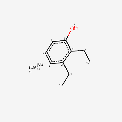 CCc1cccc(O)c1CC.[Ca].[Na]